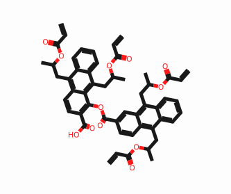 C=CC(=O)OC(C)Cc1c2ccccc2c(CC(C)OC(=O)C=C)c2cc(C(=O)Oc3c(C(=O)O)ccc4c(CC(C)OC(=O)C=C)c5ccccc5c(CC(C)OC(=O)C=C)c34)ccc12